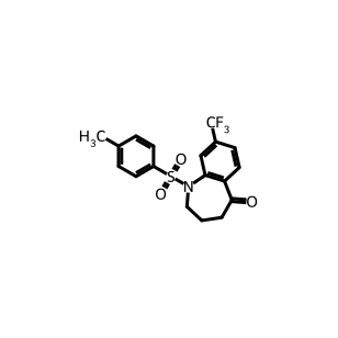 Cc1ccc(S(=O)(=O)N2CCCC(=O)c3ccc(C(F)(F)F)cc32)cc1